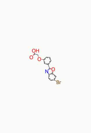 O=C(O)COc1cccc(-c2nc3ccc(Br)cc3o2)c1